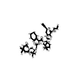 C#CCCC(NC(=O)[C@@H]1[C@H]2CCC(C)(C)[C@H]2CN1C(=O)[C@@H](NC(=O)N[C@H](CN1C(=O)CC(C)(C)CC1=O)C(C)(C)C)C1CCCCC1)C(=O)C(=O)NCC=C